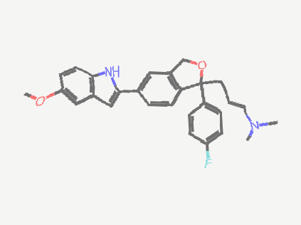 COc1ccc2[nH]c(-c3ccc4c(c3)COC4(CCCN(C)C)c3ccc(F)cc3)cc2c1